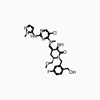 COC[C@H]1C/C(=C/N(C)c2nc(Nc3ccnn3C)ncc2Cl)C(=N)C(=O)N1Cc1cc(F)ccc1CO